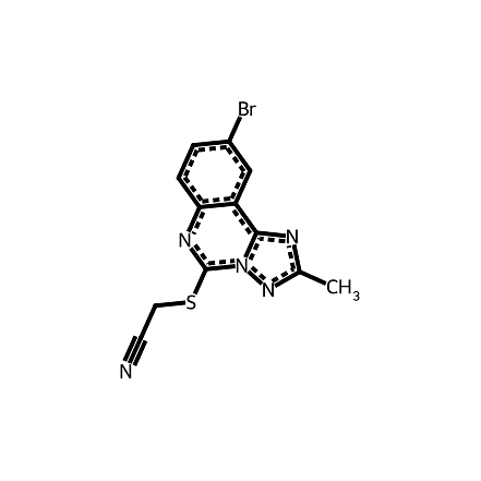 Cc1nc2c3cc(Br)ccc3nc(SCC#N)n2n1